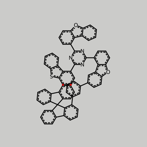 c1cc(-c2ccc3oc4cccc(-c5nc(-c6cccc7oc8ccccc8c67)nc(-c6cccc7sc8ccccc8c67)n5)c4c3c2)cc(-c2cccc3c2C2(c4ccccc4-c4ccccc42)c2ccccc2-3)c1